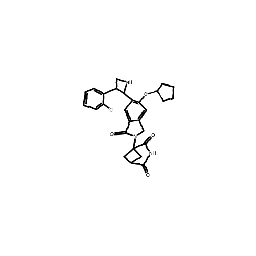 O=C1NC(=O)C2(N3Cc4cc(OC5CCCC5)c(C5NCC5c5ccccc5Cl)cc4C3=O)CC1C2